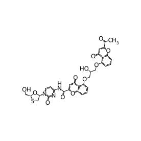 CC(=O)c1cc(=O)c2c(OCC(O)COc3cccc4oc(C(=O)Nc5ccn([C@H]6CS[C@@H](CO)O6)c(=O)n5)cc(=O)c34)cccc2o1